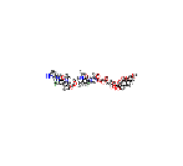 C=C(OCOC(=C)C1=CN(C2CC2)c2c(cc(F)c(N3CCN(C(=O)OCOC(=O)CCC(=O)OCC(=O)[C@@]4(O)CCC5C6CCC7=CC(=O)C=C[C@]7(C)C6[C@@H](O)C[C@@]54C)C(C)C3)c2OC)C1=C)C1=CN(C2CC2)c2c(cc(F)c(N3CC4CCCNC4C3)c2OC)C1=C